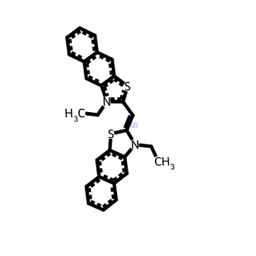 CCN1/C(=C/c2sc3cc4ccccc4cc3[n+]2CC)Sc2cc3ccccc3cc21